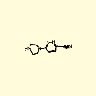 N#Cc1ccc(N2CCNCC2)nn1